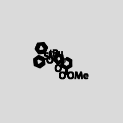 COC(=O)C1CCC[C@]2(CC[C@@H](O[Si](c3ccccc3)(c3ccccc3)C(C)(C)C)C2)C1=O